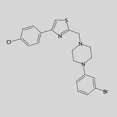 Clc1ccc(-c2csc(CN3CCN(c4cccc(Br)c4)CC3)n2)cc1